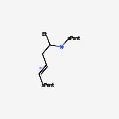 CCCCC/C=C/CC(CC)[N]CCCCC